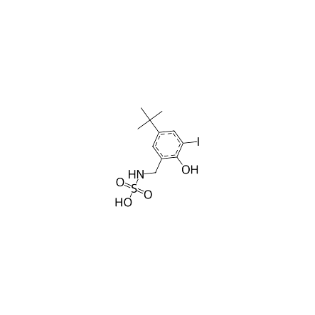 CC(C)(C)c1cc(I)c(O)c(CNS(=O)(=O)O)c1